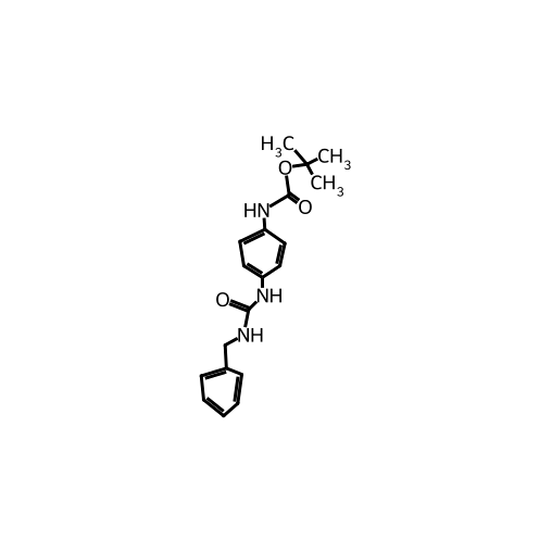 CC(C)(C)OC(=O)Nc1ccc(NC(=O)NCc2ccccc2)cc1